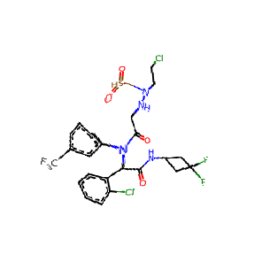 O=C(NC1CC(F)(F)C1)C(c1ccccc1Cl)N(C(=O)CNN(CCCl)[SH](=O)=O)c1cccc(C(F)(F)F)c1